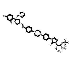 CC[C@@H]([C@H](C)OP(=O)(Cl)Cl)n1ncn(-c2ccc(N3CCN(c4ccc(OC[C@@H]5CO[C@@](Cn6cncn6)(c6ccc(F)cc6F)C5)cc4)CC3)cc2)c1=O